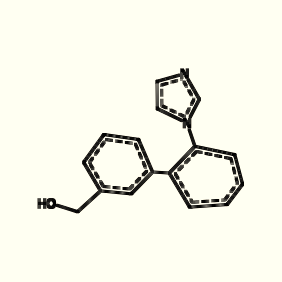 OCc1cccc(-c2ccccc2-n2ccnc2)c1